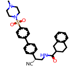 CN1CCN(S(=O)(=O)c2ccc(-c3ccc([C@@H](C#N)CNC(=O)C4CCc5ccccc5C4)cc3)cc2)CC1